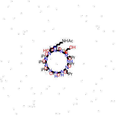 CC[C@H]1NC(=O)[C@H]([C@H](O)[C@H](C)CCCCCCCNC(C)=O)N(C)C(=O)[C@@H](C(C)C)N(C)C(=O)[C@@H](CC(C)C)N(C)C(=O)[C@H](CC(C)C)N(C)C(=O)[C@H](C)NC(=O)[C@@H](C)NC(=O)[C@@H](CCC(C)C)N(C)C(=O)[C@@H](C(C)C)NC(=O)[C@H](CC(C)C)N(C)C(=O)[C@@H](SCCCO)N(C)C1=O